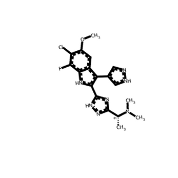 COc1cc2c(-c3cn[nH]c3)c(-c3nc([C@@H](C)N(C)C)n[nH]3)[nH]c2c(F)c1Cl